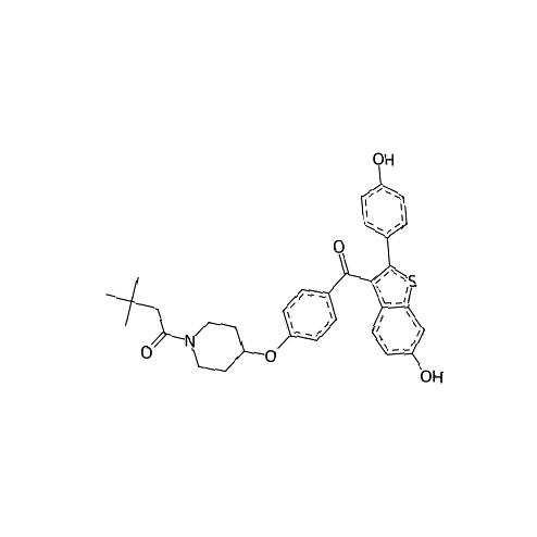 CC(C)(C)CC(=O)N1CCC(Oc2ccc(C(=O)c3c(-c4ccc(O)cc4)sc4cc(O)ccc34)cc2)CC1